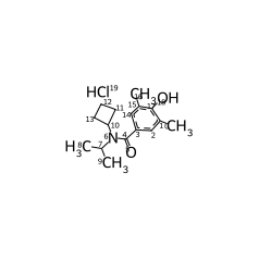 Cc1cc(C(=O)N(C(C)C)C2CCC2)cc(C)c1O.Cl